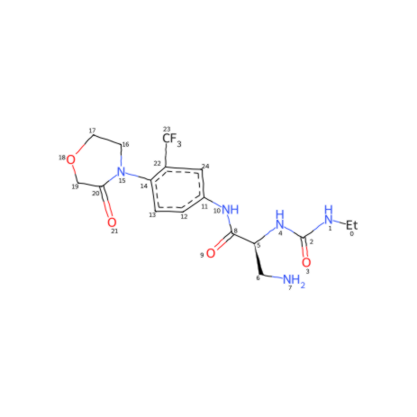 CCNC(=O)N[C@@H](CN)C(=O)Nc1ccc(N2CCOCC2=O)c(C(F)(F)F)c1